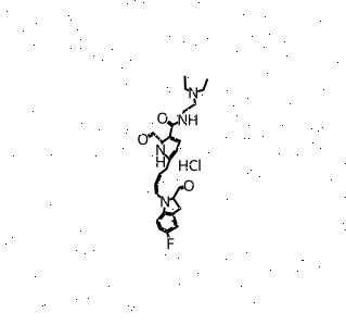 CCN(CC)CCNC(=O)C1=CC=C(CC=C=CN2c3ccc(F)cc3CC2C=O)NC1C=O.Cl